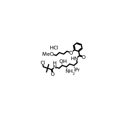 COCCCCOc1ccccc1C(=O)NC[C@@H](C[C@H](N)[C@@H](O)CNC(=O)C(C)(C)CCl)C(C)C.Cl